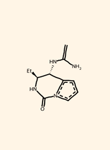 C=C(N)N[C@@H]1c2cccn2C(=O)N[C@H]1CC